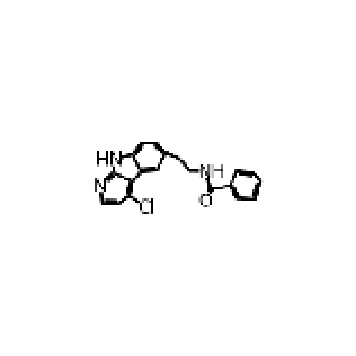 O=C(NCCc1ccc2[nH]c3nccc(Cl)c3c2c1)c1ccccc1